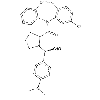 CN(C)c1ccc([C@H](C=O)N2CCCC2C(=O)N2c3cc(Cl)ccc3COc3ccccc32)cc1